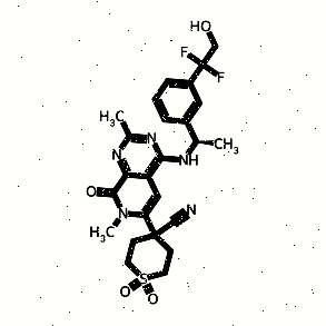 Cc1nc(N[C@H](C)c2cccc(C(F)(F)CO)c2)c2cc(C3(C#N)CCS(=O)(=O)CC3)n(C)c(=O)c2n1